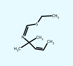 C/C=C\C(C)(C)/N=C\SCC